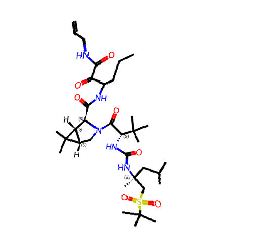 C=CCNC(=O)C(=O)C(CCC)NC(=O)[C@@H]1[C@@H]2[C@H](CN1C(=O)[C@@H](NC(=O)N[C@@](C)(CC(C)C)CS(=O)(=O)C(C)(C)C)C(C)(C)C)C2(C)C